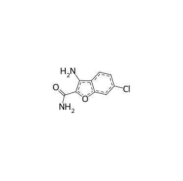 NC(=O)c1oc2cc(Cl)ccc2c1N